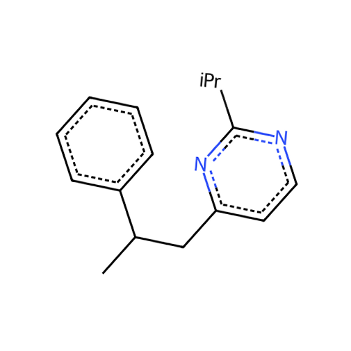 CC(C)c1nccc(CC(C)c2ccccc2)n1